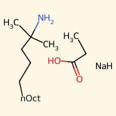 CCC(=O)O.CCCCCCCCCCCC(C)(C)N.[NaH]